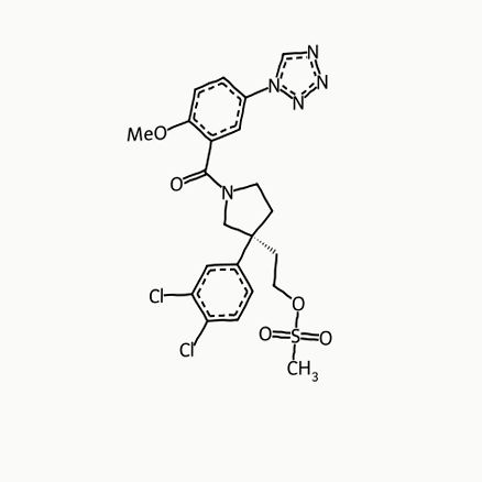 COc1ccc(-n2cnnn2)cc1C(=O)N1CC[C@@](CCOS(C)(=O)=O)(c2ccc(Cl)c(Cl)c2)C1